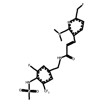 CN(C)c1nc(CF)ccc1/C=C/C(=O)NCc1cc(F)c(NS(C)(=O)=O)c(C(F)(F)F)c1